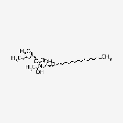 CCCCCCCCCCCCCCCCOCC(O)CN(C(=O)OCC(CC)CCCC)C(C)O